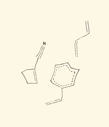 C=CC=C.C=Cc1ccccc1.N#CC1=CCC1